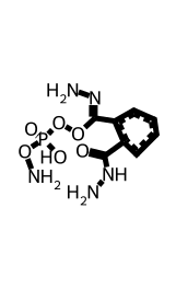 NN=C(OOP(=O)(O)ON)c1ccccc1C(=O)NN